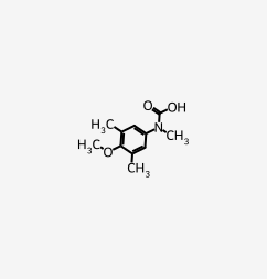 COc1c(C)cc(N(C)C(=O)O)cc1C